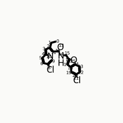 CCc1cc2ccc(Cl)cn2c1C(=O)NCc1cc2cc(Cl)ccc2o1